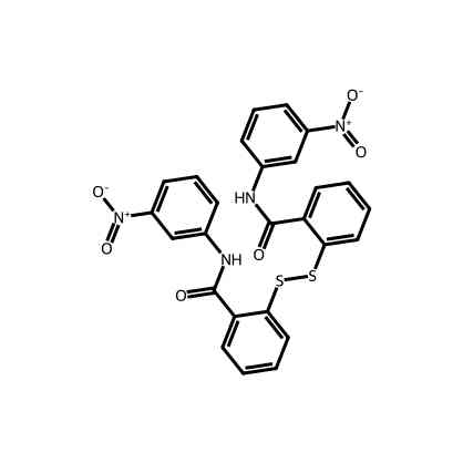 O=C(Nc1cccc([N+](=O)[O-])c1)c1ccccc1SSc1ccccc1C(=O)Nc1cccc([N+](=O)[O-])c1